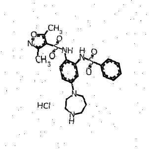 Cc1noc(C)c1S(=O)(=O)Nc1ccc(N2CCCNCC2)cc1NS(=O)(=O)c1ccccc1.Cl